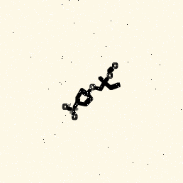 C=CC(C)(COc1ccc([N+](=O)[O-])cc1)OC=O